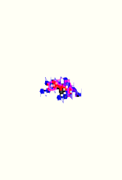 CN(C(=O)c1cc(C(=O)N(C)c2ccc(-c3ccccn3)cc2)cc(-c2cccc(-c3cc(C(=O)N(C)c4ccc(-c5ccccn5)cc4)cc(C(O)N(C)c4ccc(-c5ccccn5)cc4)c3)c2-c2ccc(-c3ncccn3)cc2)c1)c1ccc(-c2ccccn2)cc1